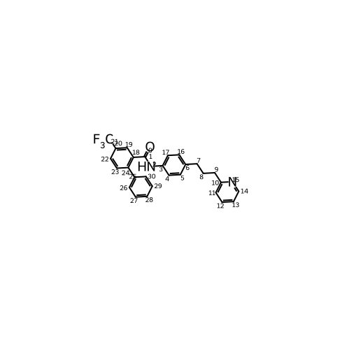 O=C(Nc1ccc(CCCc2ccccn2)cc1)c1cc(C(F)(F)F)ccc1-c1ccccc1